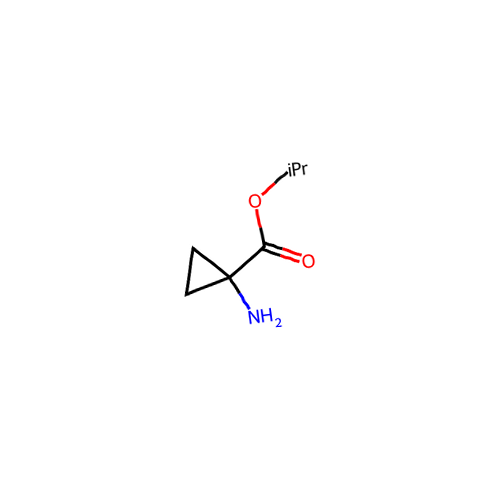 CC(C)OC(=O)C1(N)CC1